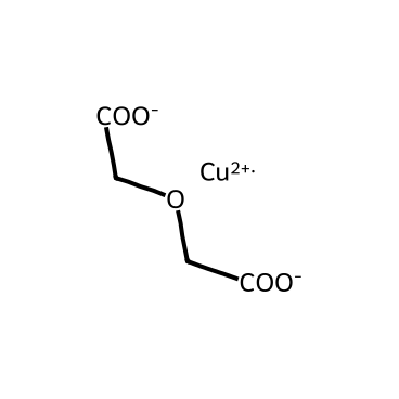 O=C([O-])COCC(=O)[O-].[Cu+2]